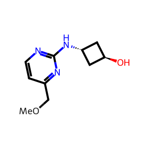 COCc1ccnc(N[C@H]2C[C@H](O)C2)n1